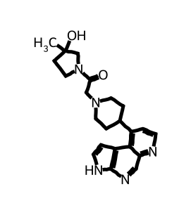 CC1(O)CCN(C(=O)CN2CCC(c3ccnc4cnc5[nH]ccc5c34)CC2)C1